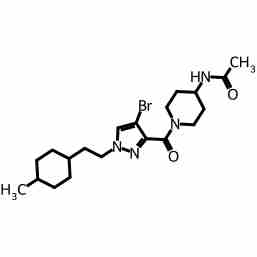 CC(=O)NC1CCN(C(=O)c2nn(CCC3CCC(C)CC3)cc2Br)CC1